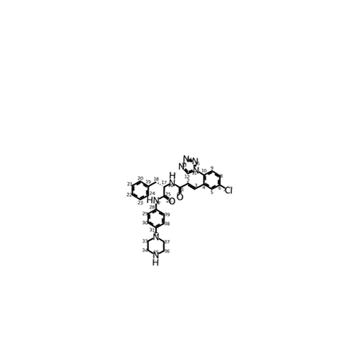 O=C(/C=C/c1cc(Cl)ccc1-n1cnnn1)N[C@@H](Cc1ccccc1)C(=O)Nc1ccc(N2CCNCC2)cc1